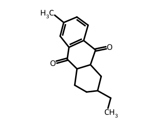 CCC1CCC2C(=O)c3cc(C)ccc3C(=O)C2C1